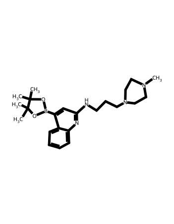 CN1CCN(CCCNc2cc(B3OC(C)(C)C(C)(C)O3)c3ccccc3n2)CC1